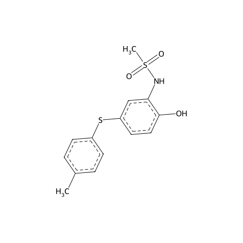 Cc1ccc(Sc2ccc(O)c(NS(C)(=O)=O)c2)cc1